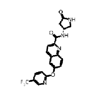 O=C1C[C@@H](NC(=O)c2ccc3cc(Oc4ccc(C(F)(F)F)cn4)ccc3n2)CN1